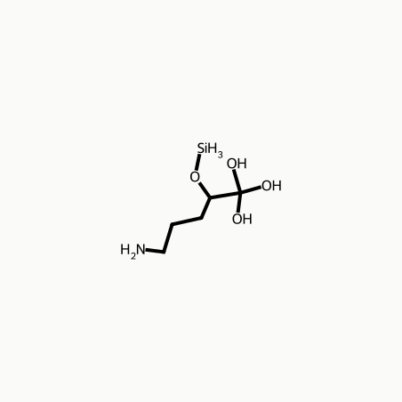 NCCCC(O[SiH3])C(O)(O)O